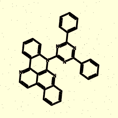 c1ccc(-c2nc(-c3ccccc3)nc(N3c4ccccc4-c4nccc5c4c3nc3ccccc35)n2)cc1